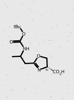 CC(CC1=N[C@@H](C(=O)O)CO1)NC(=O)OC(C)(C)C